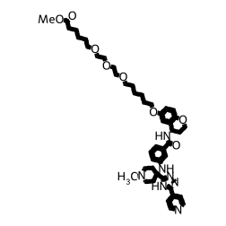 COC(=O)CCCCCOCCOCCOCCCCCCOc1ccc2c(c1)[C@@H](NC(=O)c1cccc(NC3(c4nnc(-c5ccncc5)[nH]4)CCN(C)CC3)c1)CCO2